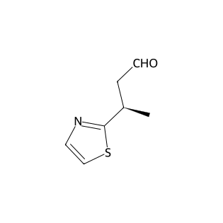 C[C@H](CC=O)c1nccs1